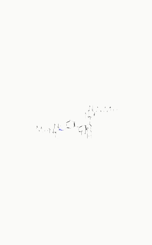 CNC(=O)/C(C#N)=C/c1cccc(-c2cnc3[nH]cc(-c4cc(NC)ncn4)c3c2)c1